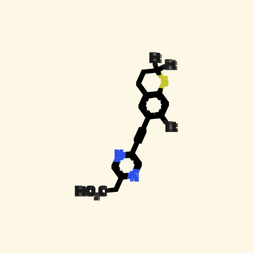 CCOC(=O)Cc1cnc(C#Cc2cc3c(cc2CC)SC(CC)(CC)CC3)cn1